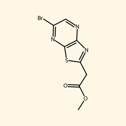 COC(=O)Cc1nc2ncc(Br)nc2s1